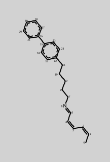 C\C=C/C=C\C=N\CCCCCc1ccc(-c2ccccc2)cc1